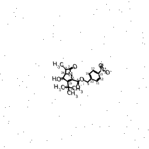 CC1C(=O)N2C(C(=O)OCc3ccc([N+](=O)[O-])cc3)=C(C(C)(C)C)C(O)C12